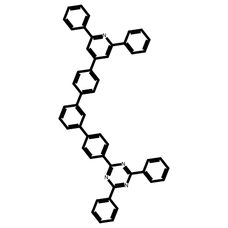 c1ccc(-c2cc(-c3ccc(-c4cccc(-c5ccc(-c6nc(-c7ccccc7)nc(-c7ccccc7)n6)cc5)c4)cc3)cc(-c3ccccc3)n2)cc1